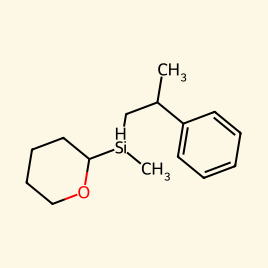 CC(C[SiH](C)C1CCCCO1)c1ccccc1